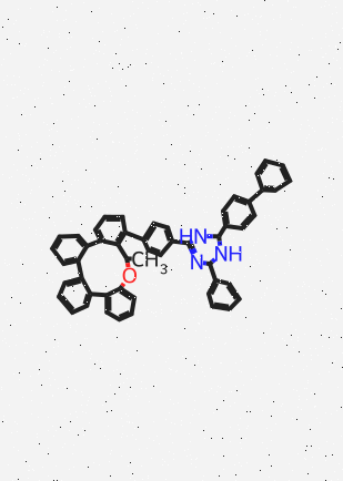 CC1Oc2ccccc2-c2ccccc2-c2ccccc2-c2cccc(-c3ccc(C4=NC(c5ccccc5)NC(c5ccc(-c6ccccc6)cc5)N4)cc3)c21